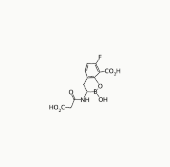 O=C(O)CC(=O)NC1Cc2ccc(F)c(C(=O)O)c2OB1O